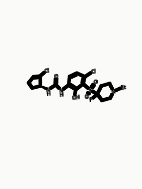 CCN1CCC(F)(S(=O)(=O)c2c(Cl)ccc(NC(=O)N[C@H]3CCC=C3Cl)c2O)CC1